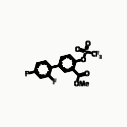 COC(=O)c1cc(-c2ccc(F)cc2F)ccc1OS(=O)(=O)C(F)(F)F